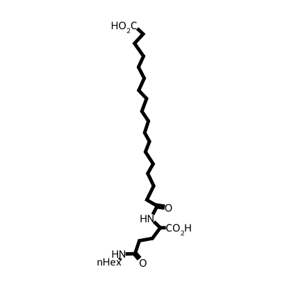 CCCCCCNC(=O)CCC(NC(=O)CCCCCCCCCCCCCCCCC(=O)O)C(=O)O